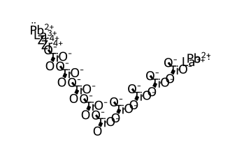 [La+3].[La+3].[O]=[Ti]([O-])[O-].[O]=[Ti]([O-])[O-].[O]=[Ti]([O-])[O-].[O]=[Ti]([O-])[O-].[O]=[Ti]([O-])[O-].[O]=[Ti]([O-])[O-].[O]=[Ti]([O-])[O-].[O]=[Ti]([O-])[O-].[O]=[Ti]([O-])[O-].[Pb+2].[Pb+2].[Zr+4].[Zr+4]